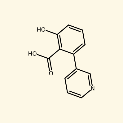 O=C(O)c1c(O)cccc1-c1cccnc1